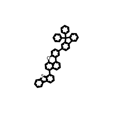 c1ccc(C2(c3ccccc3)c3ccccc3-c3ccc(-c4ccc5c(c4)-c4cccc6c(-c7cccc8c7sc7ccccc78)ccc(c46)O5)cc32)cc1